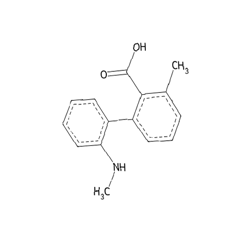 CNc1ccccc1-c1cccc(C)c1C(=O)O